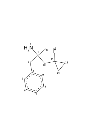 CC(N)(Cc1ccccc1)CC1(F)CC1